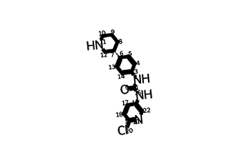 O=C(Nc1ccc([C@H]2CCCNC2)cc1)Nc1ccc(Cl)nc1